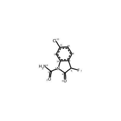 NC(=O)N1C(=O)C(F)c2ccc(Cl)cc21